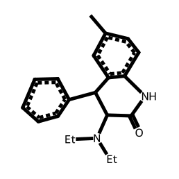 CCN(CC)C1C(=O)Nc2ccc(C)cc2C1c1ccccc1